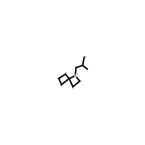 CC(C)CN1CCC12CCC2